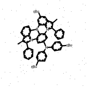 Cc1c(-c2ccccc2)n2c3c(cccc13)B1c3c-2cc(N(c2ccc(C(C)(C)C)cc2)c2ccc(C(C)(C)C)cc2)cc3-n2c(-c3ccccc3)c(C)c3cc(C(C)(C)C)cc1c32